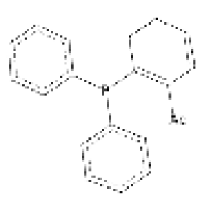 CC(=O)C1=C(P(c2ccccc2)c2ccccc2)CCC=C1